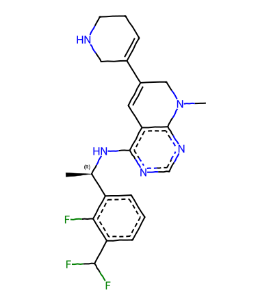 C[C@@H](Nc1ncnc2c1C=C(C1=CCCNC1)CN2C)c1cccc(C(F)F)c1F